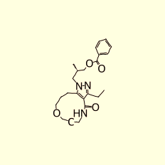 CCc1nn(C[C@@H](C)COC(=O)c2ccccc2)c2c1C(=O)NCCCOCCC2